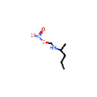 CCCC(C)NCO[N+](=O)[O-]